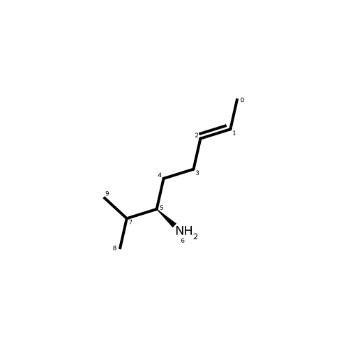 C/C=C/CC[C@@H](N)C(C)C